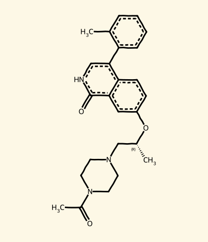 CC(=O)N1CCN(C[C@@H](C)Oc2ccc3c(-c4ccccc4C)c[nH]c(=O)c3c2)CC1